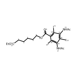 CCOC(=O)CCCCCOC(=O)c1c(I)c(NC(C)=O)c(I)c(NC(C)=O)c1I